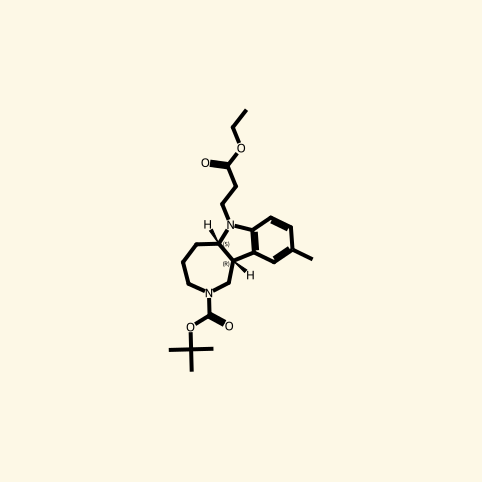 CCOC(=O)CCN1c2ccc(C)cc2[C@@H]2CN(C(=O)OC(C)(C)C)CCC[C@@H]21